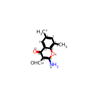 Cc1cc(C)c2oc(N)c(C=O)c(=O)c2c1